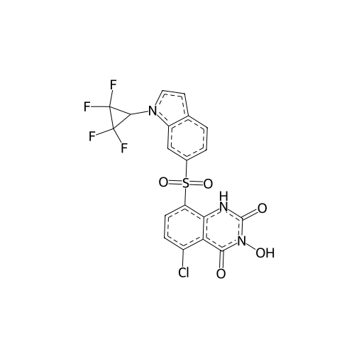 O=c1[nH]c2c(S(=O)(=O)c3ccc4ccn(C5C(F)(F)C5(F)F)c4c3)ccc(Cl)c2c(=O)n1O